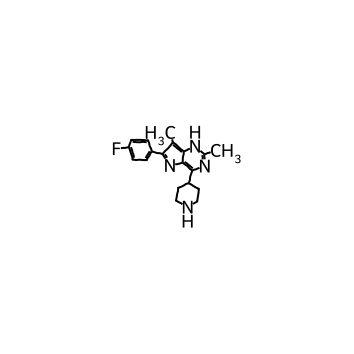 Cc1nc(C2CCNCC2)c2nc(-c3ccc(F)cc3)c(C)c-2[nH]1